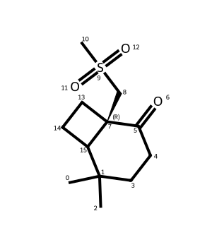 CC1(C)CCC(=O)[C@@]2(CS(C)(=O)=O)CCC12